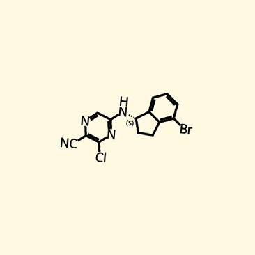 N#Cc1ncc(N[C@H]2CCc3c(Br)cccc32)nc1Cl